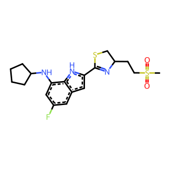 CS(=O)(=O)CCC1CSC(c2cc3cc(F)cc(NC4CCCC4)c3[nH]2)=N1